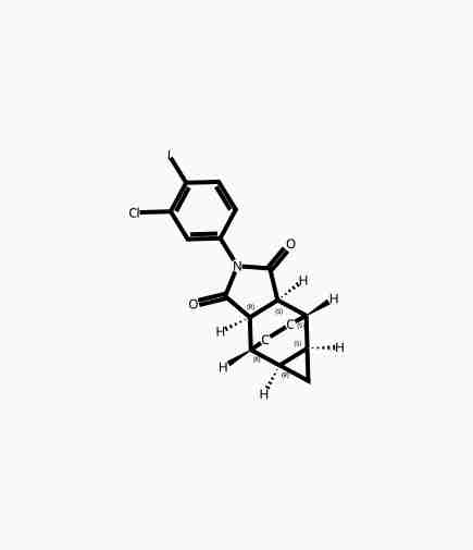 O=C1[C@@H]2[C@@H]3CC[C@@H]([C@H]4C[C@H]43)[C@@H]2C(=O)N1c1ccc(I)c(Cl)c1